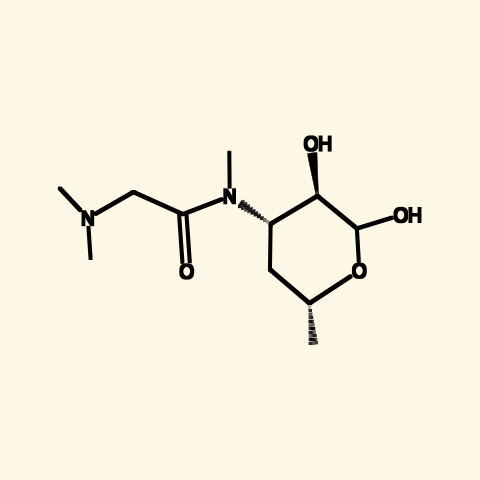 C[C@@H]1C[C@H](N(C)C(=O)CN(C)C)[C@@H](O)C(O)O1